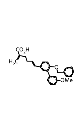 C=C(CCC=Cc1ccc(OCc2ccccc2)c(-c2cccc(OC)c2)c1)C(=O)O